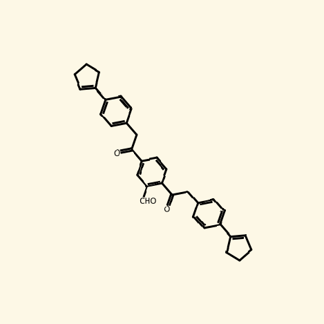 O=Cc1cc(C(=O)Cc2ccc(C3=CCCC3)cc2)ccc1C(=O)Cc1ccc(C2=CCCC2)cc1